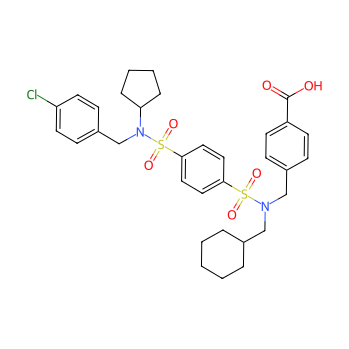 O=C(O)c1ccc(CN(CC2CCCCC2)S(=O)(=O)c2ccc(S(=O)(=O)N(Cc3ccc(Cl)cc3)C3CCCC3)cc2)cc1